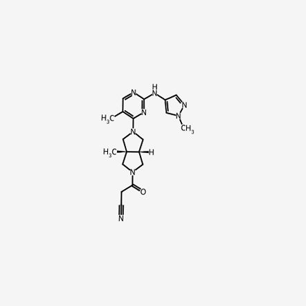 Cc1cnc(Nc2cnn(C)c2)nc1N1C[C@@H]2CN(C(=O)CC#N)C[C@]2(C)C1